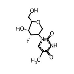 Cc1cn([C@@H]2CO[C@H](CO)[C@@H](O)[C@H]2F)c(=O)[nH]c1=O